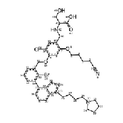 N#CCCCCOc1cc(OCc2cccc(-c3cccc4c3cnn4CCCCN3CCCC3)c2Br)c(Cl)cc1CNC(CO)C(=O)O